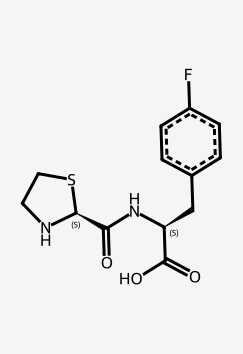 O=C(O)[C@H](Cc1ccc(F)cc1)NC(=O)[C@H]1NCCS1